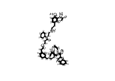 O=C1COc2c(CCNCCN(C(=O)CCOCCc3cccc(CN4CCC5(CC4)CN(C(=O)c4cnc6ccccc6n4)CCO5)c3)C3CCCCC3)ccc(O)c2N1